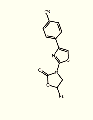 CCC1CN(c2nc(-c3ccc(C#N)cc3)cs2)C(=O)O1